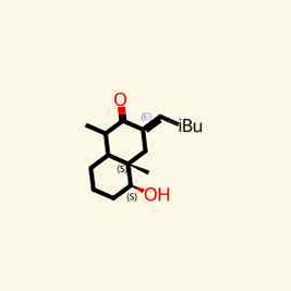 CCC(C)/C=C1\C[C@@]2(C)C(CCC[C@@H]2O)C(C)C1=O